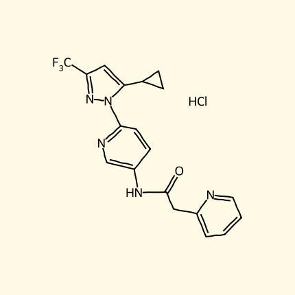 Cl.O=C(Cc1ccccn1)Nc1ccc(-n2nc(C(F)(F)F)cc2C2CC2)nc1